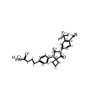 CNC(=O)CCCc1ccc(N2C(=S)N(c3ccc(C#N)c(C(F)(F)F)c3)C(=O)C23CCC3)cc1